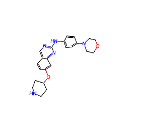 c1cc(N2CCOCC2)ccc1Nc1ncc2ccc(OC3CCNCC3)cc2n1